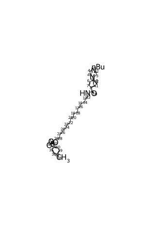 CCCCN1CCN(c2ccc(C(=O)NCCCCCCCCCCCCCCCCCCOS(=O)(=O)c3ccc(C)cc3)cn2)CC1